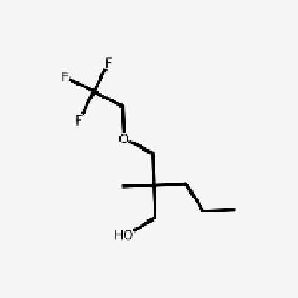 CCCC(C)(CO)COCC(F)(F)F